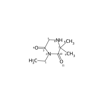 CCN1C(=O)CNC(C)(C)C1=O